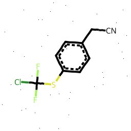 N#CCc1ccc(SC(F)(F)Cl)cc1